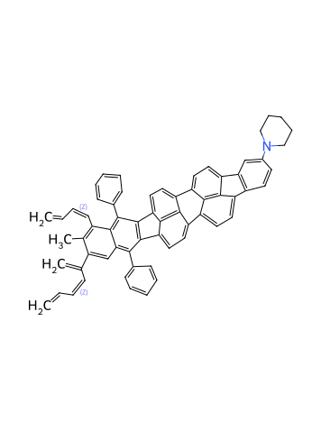 C=C/C=C\C(=C)c1cc2c(-c3ccccc3)c3c(c(-c4ccccc4)c2c(/C=C\C=C)c1C)-c1ccc2c4ccc5c6c(ccc(c7ccc-3c1c72)c64)-c1ccc(N2CCCCC2)cc1-5